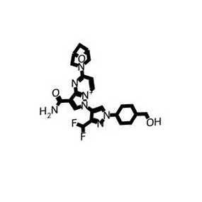 NC(=O)c1cn(-c2cn(C3CCC(CO)CC3)nc2C(F)F)[n+]2ccc(N3CC4CC(C3)O4)nc12